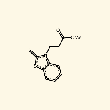 COC(=O)CCn1c(=S)sc2ccccc21